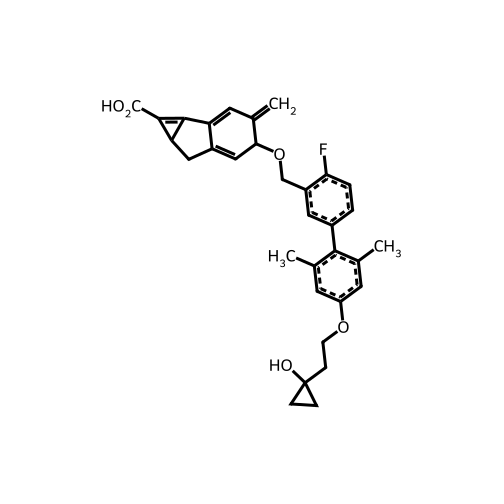 C=C1C=C2C(=CC1OCc1cc(-c3c(C)cc(OCCC4(O)CC4)cc3C)ccc1F)CC1C(C(=O)O)=C21